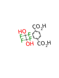 O=C(O)c1ccc(C(=O)O)cc1.OC(F)(F)C(O)(F)F